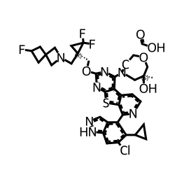 C[C@@]1(O)COCCN(c2nc(OC[C@]3(CN4CC5(CC(F)C5)C4)CC3(F)F)nc3sc4c(-c5c(C6CC6)c(Cl)cc6[nH]ncc56)nccc4c23)C1.O=CO